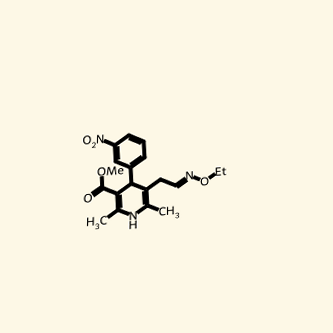 CCON=CCC1=C(C)NC(C)=C(C(=O)OC)C1c1cccc([N+](=O)[O-])c1